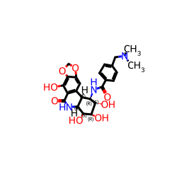 CN(C)Cc1ccc(C(=O)N[C@H]2[C@H](O)[C@@H](O)[C@@H](O)[C@@H]3NC(=O)c4c(cc5c(c4O)OCO5)[C@@H]23)cc1